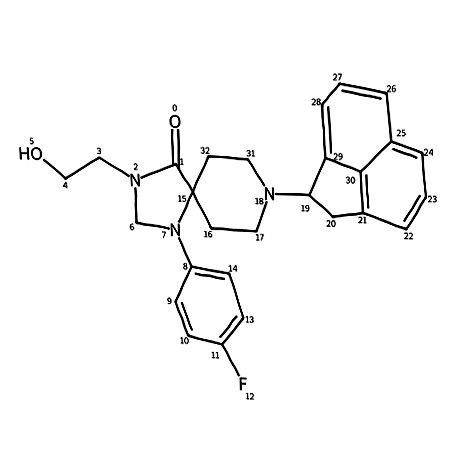 O=C1N(CCO)CN(c2ccc(F)cc2)C12CCN(C1Cc3cccc4cccc1c34)CC2